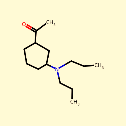 CCCN(CCC)C1CCCC(C(C)=O)C1